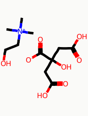 C[N+](C)(C)CCO.O=C(O)CC(O)(CC(=O)O)C(=O)[O-]